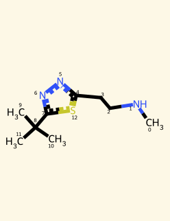 CNCCc1nnc(C(C)(C)C)s1